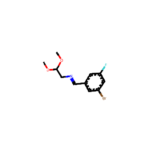 COC(C/N=C/c1cc(F)cc(Br)c1)OC